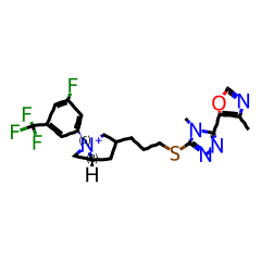 Cc1ncoc1-c1nnc(SCCCC2C[C@@H]3C[N@@+]3(c3cc(F)cc(C(F)(F)F)c3)C2)n1C